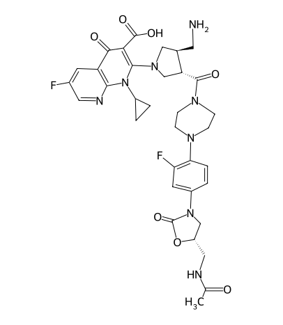 CC(=O)NC[C@H]1CN(c2ccc(N3CCN(C(=O)[C@@H]4CN(c5c(C(=O)O)c(=O)c6cc(F)cnc6n5C5CC5)C[C@H]4CN)CC3)c(F)c2)C(=O)O1